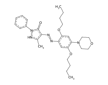 CCCCOc1cc(N2CCOCC2)c(OCCCC)cc1N=Nc1c(C)[nH]n(-c2ccccc2)c1=O